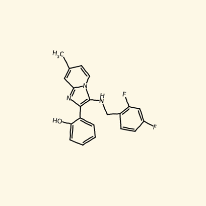 Cc1ccn2c(NCc3ccc(F)cc3F)c(-c3ccccc3O)nc2c1